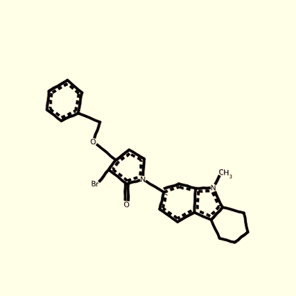 Cn1c2c(c3ccc(-n4ccc(OCc5ccccc5)c(Br)c4=O)cc31)CCCC2